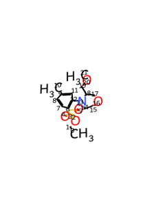 CCOS(=O)(=O)c1ccc(C)cc1N1CCOCC1COC